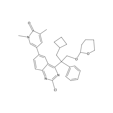 Cc1cc(-c2ccc3nc(Cl)nc(C(COC4CCCCO4)(CC4CCC4)c4ccccc4)c3c2)cn(C)c1=O